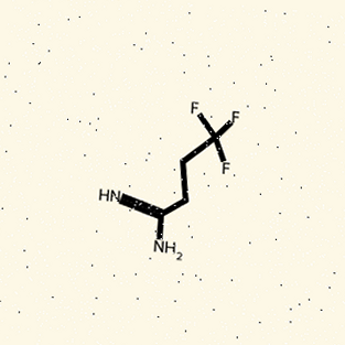 N=C(N)CCC(F)(F)F